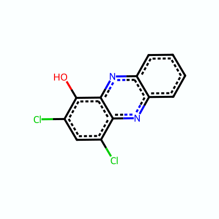 Oc1c(Cl)cc(Cl)c2nc3ccccc3nc12